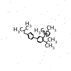 CC(C)Cc1ccc(-c2ccc(C(C)C)c(N3C=CC(C)N3C)c2)cc1